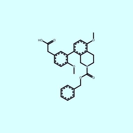 COc1ccc(CC(=O)O)cc1-c1ccc(OC)c2c1CN(C(=O)OCc1ccccc1)CC2